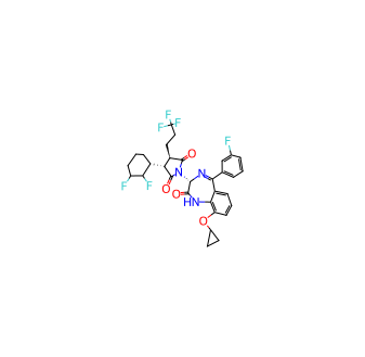 O=C1Nc2c(OC3CC3)cccc2C(c2cccc(F)c2)=N[C@H]1N1C(=O)[C@H](C2CCCC(F)C2F)[C@@H](CCC(F)(F)F)C1=O